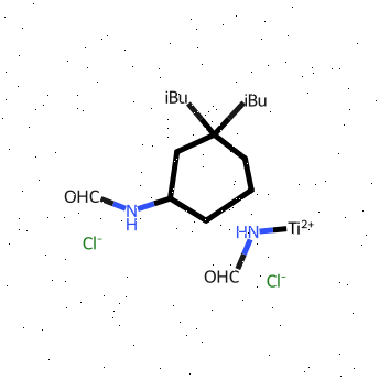 CCC(C)C1(C(C)CC)CCCC(NC=O)C1.O=C[NH][Ti+2].[Cl-].[Cl-]